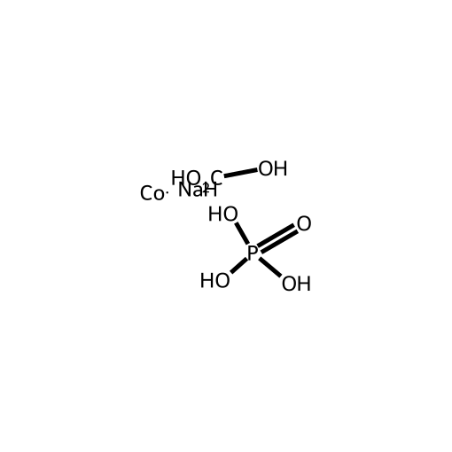 O=C(O)O.O=P(O)(O)O.[Co].[NaH]